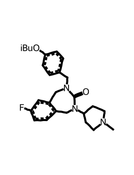 CC(C)COc1ccc(CN2Cc3cc(F)ccc3CN(C3CCN(C)CC3)C2=O)cc1